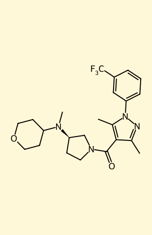 Cc1nn(-c2cccc(C(F)(F)F)c2)c(C)c1C(=O)N1CC[C@@H](N(C)C2CCOCC2)C1